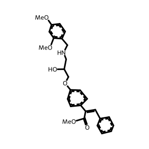 COC(=O)/C(=C\c1ccccc1)c1ccc(OCC(O)CNCc2ccc(OC)cc2OC)cc1